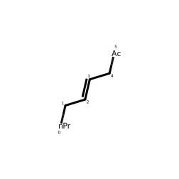 CCCCC=CCC(C)=O